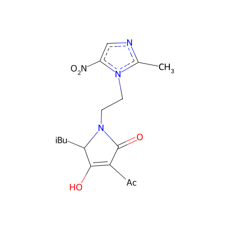 CCC(C)C1C(O)=C(C(C)=O)C(=O)N1CCn1c([N+](=O)[O-])cnc1C